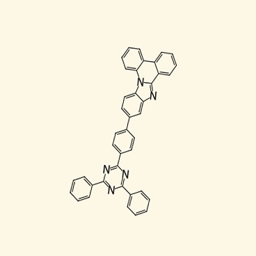 c1ccc(-c2nc(-c3ccccc3)nc(-c3ccc(-c4ccc5c(c4)nc4c6ccccc6c6ccccc6n54)cc3)n2)cc1